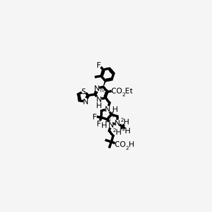 [2H]C([2H])([2H])N1C[C@H]2[C@@H](N1CCC(C)(C)C(=O)O)C(F)(F)CN2CC1=C(C(=O)OCC)[C@H](c2cccc(F)c2C)N=C(c2nccs2)N1